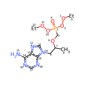 CCOOP(=O)(COC(C)Cn1cnc2c(N)ncnc21)OOCC